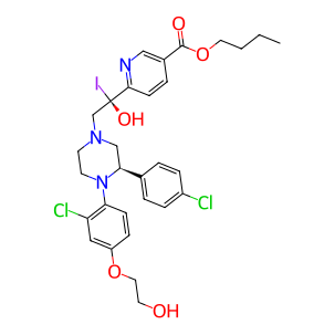 CCCCOC(=O)c1ccc([C@@](O)(I)CN2CCN(c3ccc(OCCO)cc3Cl)[C@H](c3ccc(Cl)cc3)C2)nc1